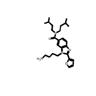 CC(C)CCN(CCC(C)C)C(=O)c1ccc2nc(-c3ccco3)n(CCCCN)c2c1